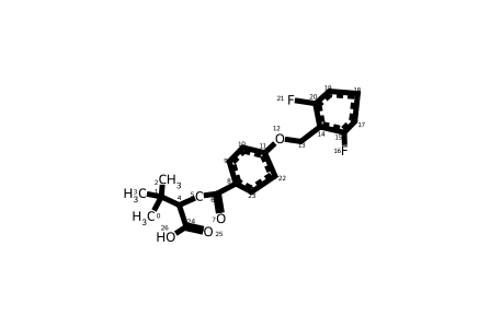 CC(C)(C)C(CC(=O)c1ccc(OCc2c(F)cccc2F)cc1)C(=O)O